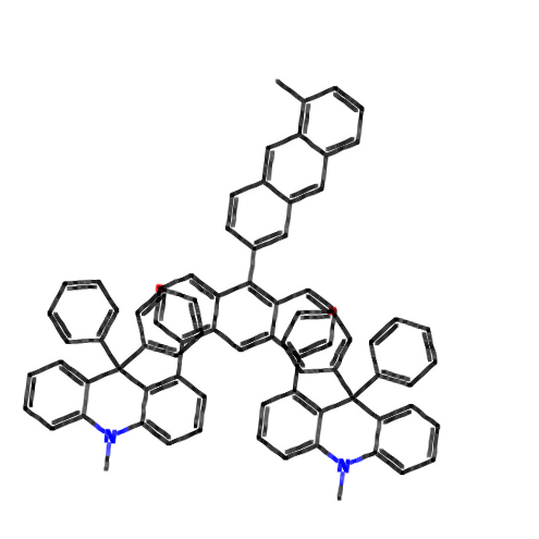 Cc1cccc2cc3cc(-c4c5cccc(-c6cccc7c6C(c6ccccc6)(c6ccccc6)c6ccccc6N7C)c5cc5c(-c6cccc7c6C(c6ccccc6)(c6ccccc6)c6ccccc6N7C)cccc45)ccc3cc12